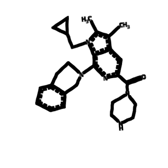 Cc1c(C)n(CC2CC2)c2c(N3CCc4ccccc4C3)nc(C(=O)N3CCNCC3)cc12